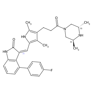 Cc1[nH]c(/C=C2\C(=O)Nc3cccc(-c4ccc(F)cc4)c32)c(C)c1CCC(=O)N1C[C@H](C)N[C@@H](C)C1